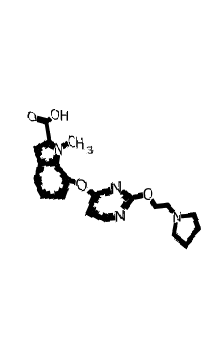 Cn1c(C(=O)O)cc2cccc(Oc3ccnc(OCCN4CCCC4)n3)c21